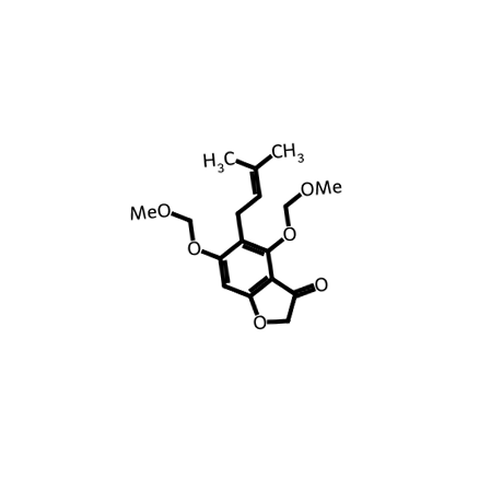 COCOc1cc2c(c(OCOC)c1CC=C(C)C)C(=O)CO2